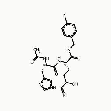 CC(=O)N[C@@H](Cc1c[nH]cn1)C(=O)N[C@@H](CCC(O)C=N)C(=O)NCc1ccc(F)cc1